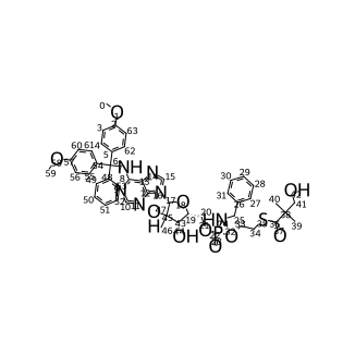 COc1ccc(C(Nc2ncnc3c2ncn3[C@@H]2O[C@H](COP(=O)(NCc3ccccc3)OCCSC(=O)C(C)(C)CO)[C@H](O)C2(C)O)(c2ccccc2)c2ccc(OC)cc2)cc1